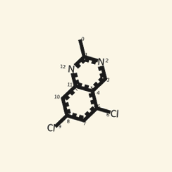 Cc1ncc2c(Cl)cc(Cl)cc2n1